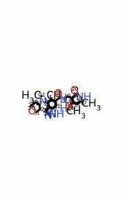 CCN(c1c(C)c(C(=O)NCc2c(OC)cc(C)[nH]c2=O)cc2[nH]ncc12)C1CCOCC1